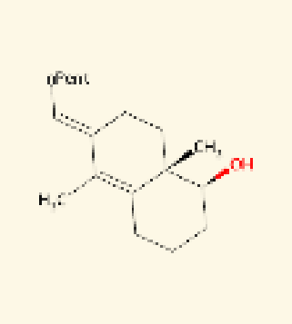 CCCCC/C=C1\CC[C@@]2(C)C(=C1C)CCC[C@@H]2O